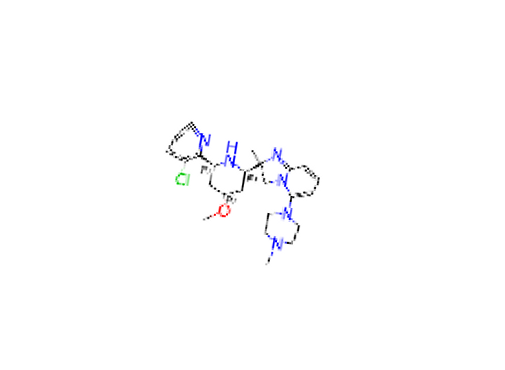 CO[C@@H]1C[C@@H](c2ncccc2Cl)N[C@@H](C2(C)CN3C(N4CCN(C)CC4)=CC=CC3=N2)C1